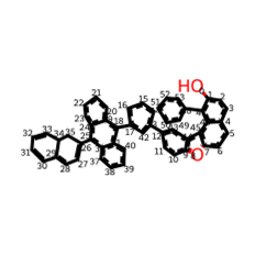 Oc1ccc2ccc3oc4ccc(-c5cccc(-c6c7ccccc7c(C7=CC=C8C=CC=CC8C7)c7ccccc67)c5)cc4c3c2c1-c1ccccc1